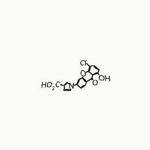 O=C(O)c1ccn(-c2ccc3c(=O)c4c(O)ccc(Cl)c4oc3c2)c1